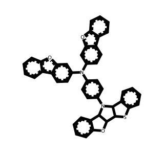 c1ccc2c(c1)OC1C3Sc4ccccc4C3N(c3ccc(N(c4ccc5c(c4)oc4ccccc45)c4ccc5c(c4)oc4ccccc45)cc3)C21